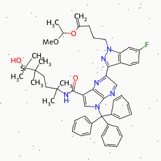 C=C(CCCn1nc(-c2cnc3c(n2)c(C(=O)NC(C)(C)CCC(C)(C)[Si](C)(C)O)cn3C(c2ccccc2)(c2ccccc2)c2ccccc2)c2ccc(F)cc21)OC(C)OC